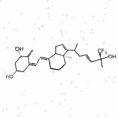 C=C1/C(=C\C=C2/CCC[C@]3(C)C(C(C)C/C=C/[C@@](C)(O)C(F)(F)F)=CCC23)CC(O)C[C@@H]1O